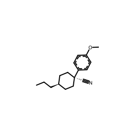 CCC[C@H]1CC[C@@](C#N)(c2ccc(OC)cc2)CC1